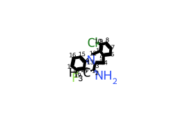 C[C@H](N)C1=Cc2cccc(Cl)c2CN1c1cccc(F)c1